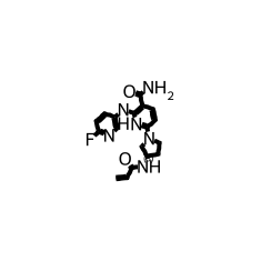 C=CC(=O)N[C@H]1CCN(c2ccc(C(N)=O)c(Nc3ccc(F)nc3)n2)C1